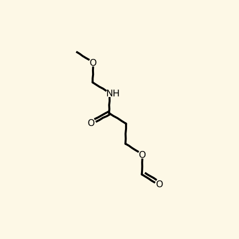 COCNC(=O)CCOC=O